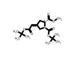 COC(=O)[C@H]1C/C(=C/C(=O)OC(C)(C)C)CN1C(=O)OC(C)(C)C